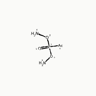 CC(=O)P(=O)(ON)ON